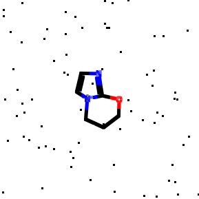 C1=C[N+]2CCCOC2=N1